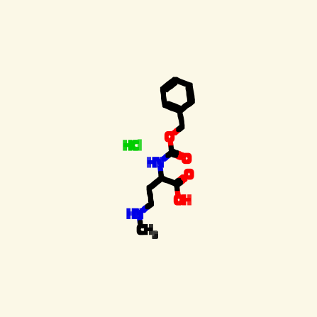 CNCCC(NC(=O)OCc1ccccc1)C(=O)O.Cl